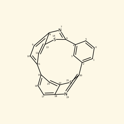 c1cc2cc(c1)-c1nc3ccc(cc3s1)-c1ccc3nc-2sc3c1